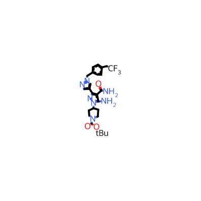 CC(C)(C)OC(=O)N1CCC(n2nc(-c3cnn(Cc4ccc(CC(F)(F)F)cc4)c3)c(C(N)=O)c2N)CC1